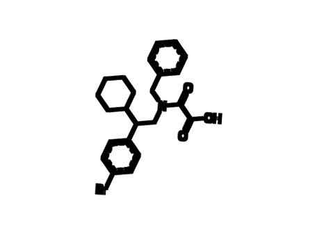 O=C(O)C(=O)N(Cc1ccccc1)CC(c1ccc(Br)cc1)C1CCCCC1